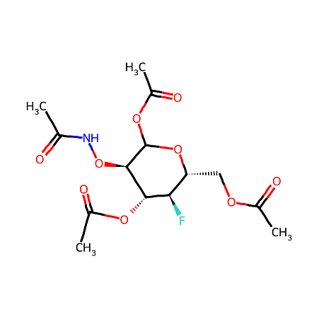 CC(=O)NO[C@H]1C(OC(C)=O)O[C@H](COC(C)=O)[C@@H](F)[C@@H]1OC(C)=O